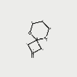 [CH]1COC2(CNC2)OC1